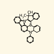 CC1(C)C2=C(B3C4=CC=CCC4N(c4ccccc4)c4ccc5c6ccccc6n2c5c43)c2ccccc21